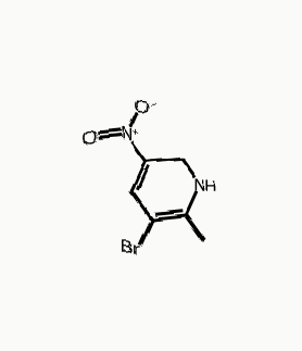 CC1=C(Br)C=C([N+](=O)[O-])CN1